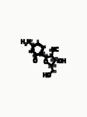 [C-]#[N+]C1[C@H](n2ccc(N)nc2=O)O[C@H](CO)[C@H]1O